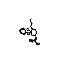 CCCCC1CCCCC1(Cl)Oc1ccccc1.O=S(O)O